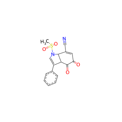 CS(=O)(=O)N1C=C(c2ccccc2)C2C(=O)C(=O)C=C(C#N)C21